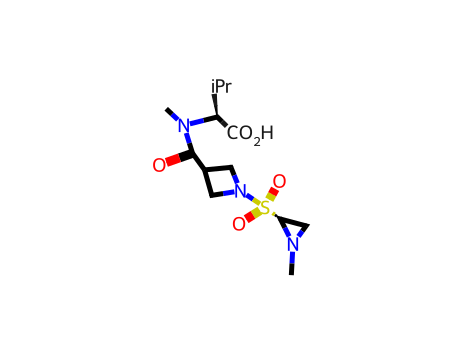 CC(C)[C@@H](C(=O)O)N(C)C(=O)C1CN(S(=O)(=O)[C@@H]2CN2C)C1